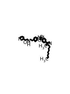 CCCCCCCCc1ncc(-c2ccc(S(=O)(=O)Nc3ccc(CCNCC(O)c4cccnc4)cc3)cc2)n1C